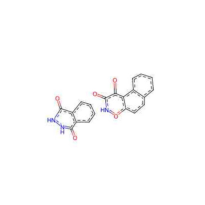 O=c1[nH][nH]c(=O)c2ccccc12.O=c1[nH]oc2ccc3ccccc3c2c1=O